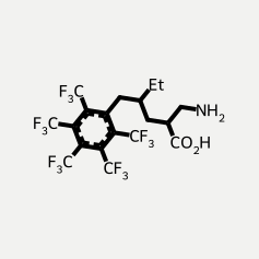 CCC(Cc1c(C(F)(F)F)c(C(F)(F)F)c(C(F)(F)F)c(C(F)(F)F)c1C(F)(F)F)CC(CN)C(=O)O